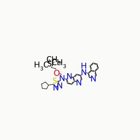 C[Si](C)(C)CCOCN(c1ccc2ncc(Nc3cncc4ccccc34)cc2n1)c1nnc(C2CCCC2)s1